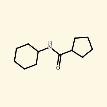 O=C(NC1CCCCC1)C1CCCC1